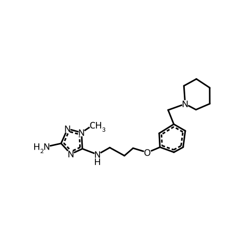 Cn1nc(N)nc1NCCCOc1cccc(CN2CCCCC2)c1